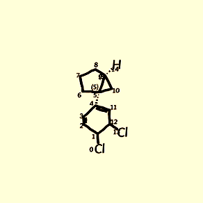 ClC1C=CC([C@]23CCC[C@H]2C3)=CC1Cl